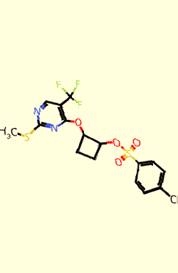 CSc1ncc(C(F)(F)F)c(OC2CCC2OS(=O)(=O)c2ccc(C)cc2)n1